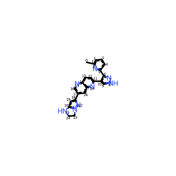 Cc1cccc(-c2n[nH]cc2-c2ccc3ncc(-c4cc5n(n4)CCN5)cc3n2)n1